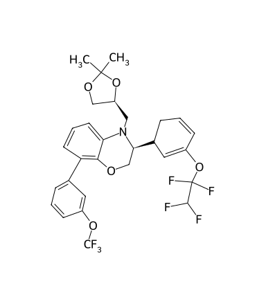 CC1(C)OC[C@H](CN2c3cccc(-c4cccc(OC(F)(F)F)c4)c3OC[C@@H]2C2C=C(OC(F)(F)C(F)F)C=CC2)O1